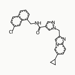 O=C(NCc1cccc2ccc(Cl)cc12)c1cnn(Cc2cn3cc(C4CC4)ccc3n2)c1